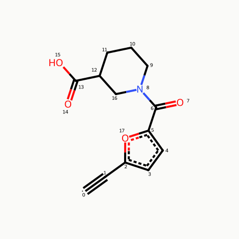 [C]#Cc1ccc(C(=O)N2CCCC(C(=O)O)C2)o1